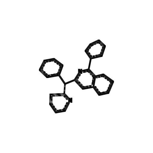 c1ccc(-c2nc(C(c3ccccc3)c3ccccn3)cc3ccccc23)cc1